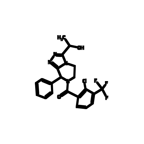 CC(O)c1nnc2n1CCN(C(=O)c1cccc(C(F)(F)F)c1Cl)C2c1ccccc1